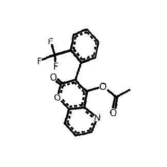 CC(=O)Oc1c(-c2ccccc2C(F)(F)F)c(=O)oc2cccnc12